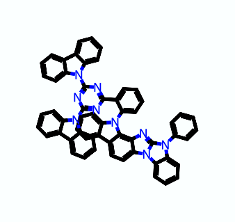 c1ccc(-n2c3ccccc3n3c4ccc5c6ccccc6n(-c6ccccc6-c6nc(-n7c8ccccc8c8ccccc87)nc(-n7c8ccccc8c8ccccc87)n6)c5c4nc23)cc1